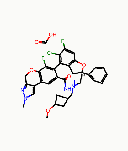 COC1CC(CNC[C@@]2(c3ccccc3)Cc3c(cc(F)c(Cl)c3-c3c(C(N)=O)cc4c(c3F)OCc3nn(C)cc3-4)O2)C1.O=CO